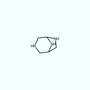 C1NCC2NCC1N2